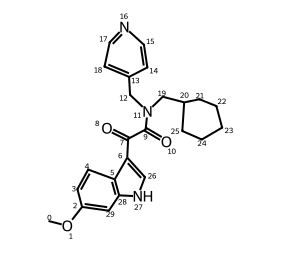 COc1ccc2c(C(=O)C(=O)N(Cc3ccncc3)CC3CCCCC3)c[nH]c2c1